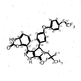 CC(F)(F)CN1C(=O)c2[nH]nc(-c3cccc4[nH]c(=O)oc34)c2C1c1ccc(Oc2ccc(SC(F)(F)F)cc2)cc1